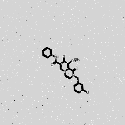 Cl.O=C(Nc1ccccc1)c1cn2ccn(Cc3cccc(Cl)c3)c(=O)c2c(O)c1=O